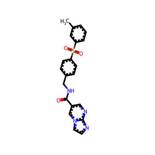 Cc1cccc(S(=O)(=O)c2ccc(CNC(=O)c3cnc4nccn4c3)cc2)c1